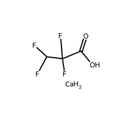 O=C(O)C(F)(F)C(F)F.[CaH2]